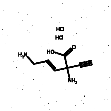 C#CC(N)(C=CCN)C(=O)O.Cl.Cl